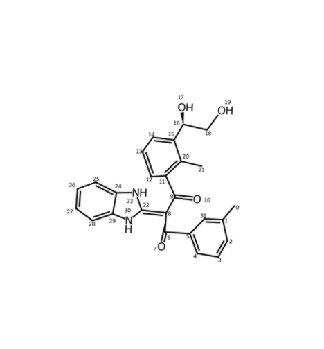 Cc1cccc(C(=O)C(C(=O)c2cccc([C@@H](O)CO)c2C)=C2Nc3ccccc3N2)c1